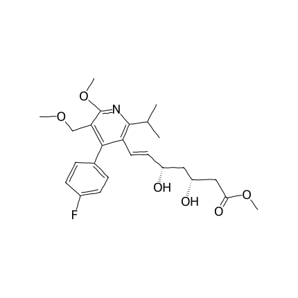 COCc1c(OC)nc(C(C)C)c(/C=C/[C@@H](O)C[C@@H](O)CC(=O)OC)c1-c1ccc(F)cc1